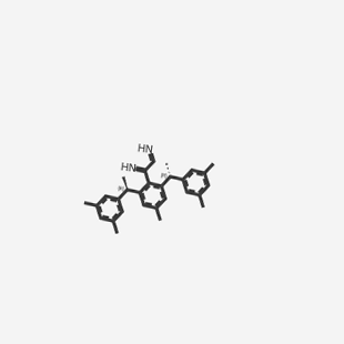 Cc1cc(C)cc([C@@H](C)c2cc(C)cc([C@H](C)c3cc(C)cc(C)c3)c2C(=N)C=N)c1